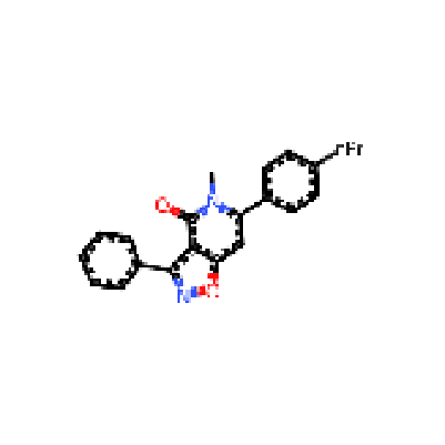 CCCc1ccc(-c2cc3onc(-c4ccccc4)c3c(=O)n2C)cc1